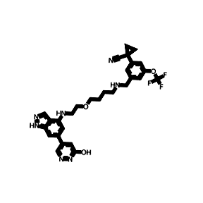 N#CC1(c2cc(CNCCCCOCCNc3cc(-c4cnnc(O)c4)cc4[nH]ncc34)cc(OC(F)(F)F)c2)CC1